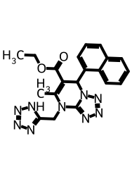 CCOC(=O)C1=C(C)N(Cc2nnn[nH]2)c2nnnn2C1c1cccc2ccccc12